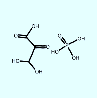 O=C(O)C(=O)C(O)O.O=P(O)(O)O